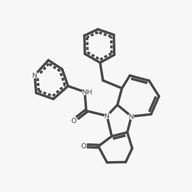 O=C1CCCC2=C1N(C(=O)Nc1ccncc1)C1C(Cc3ccccc3)C=CC=CN21